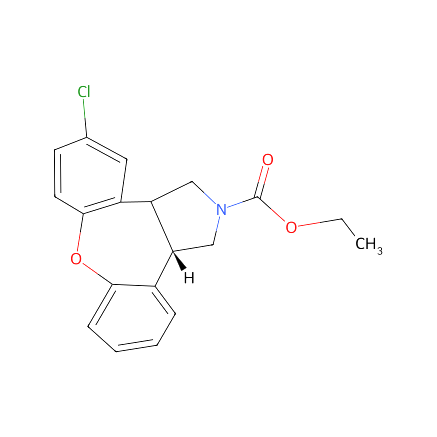 CCOC(=O)N1CC2c3cc(Cl)ccc3Oc3ccccc3[C@H]2C1